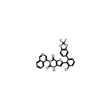 O=c1[nH]c2cc(-c3c(Cl)cccc3-c3ccc4c(c3)OC(F)(F)O4)sc2c(=O)n1-c1cncc2ccccc12